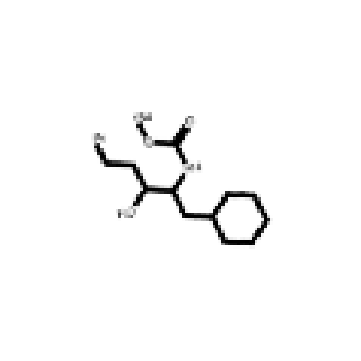 CC(C)CCC(O)C(CC1CCCCC1)NC(=O)OC(C)(C)C